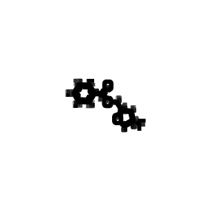 O=C(OC[C@H]1C[C@H](F)CO1)c1ccccc1